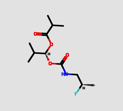 [CH2][C@H](F)CNC(=O)O[C@@H](OC(=O)C(C)C)C(C)C